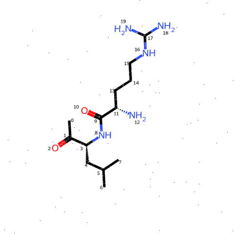 CC(=O)[C@H](CC(C)C)NC(=O)[C@@H](N)CCCNC(N)N